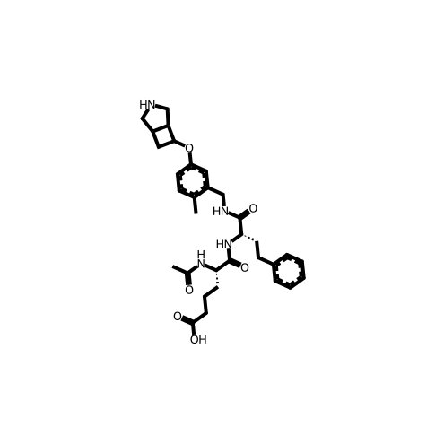 CC(=O)N[C@@H](CCCC(=O)O)C(=O)N[C@@H](CCc1ccccc1)C(=O)NCc1cc(OC2CC3CNCC32)ccc1C